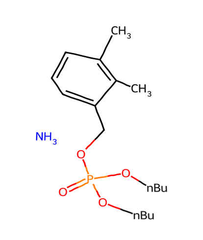 CCCCOP(=O)(OCCCC)OCc1cccc(C)c1C.N